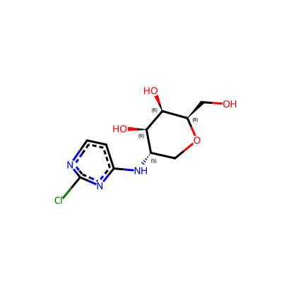 OC[C@H]1OC[C@H](Nc2ccnc(Cl)n2)[C@@H](O)[C@H]1O